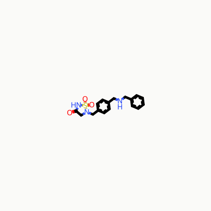 O=C1CN(Cc2ccc(CNCc3ccccc3)cc2)S(=O)(=O)N1